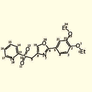 CCOc1ccc(-c2nc(CS(=O)(=O)c3ccccn3)co2)cc1OCC